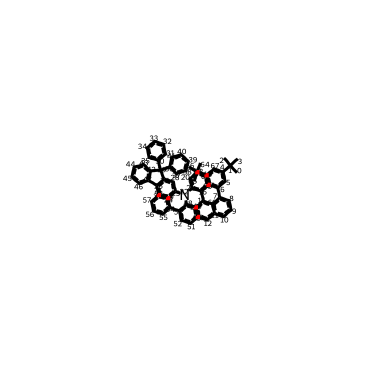 CC(C)(C)c1cc(-c2cccc3cccc(-c4ccccc4N(c4ccc5c(c4)C(c4ccccc4)(c4ccccc4)c4ccccc4-5)c4ccccc4-c4ccccc4)c23)cc(C(C)(C)C)c1